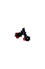 CCCN(CCCCN1CCCCCC1=O)C(C)Cc1ccc(S(C)(=O)=O)cc1